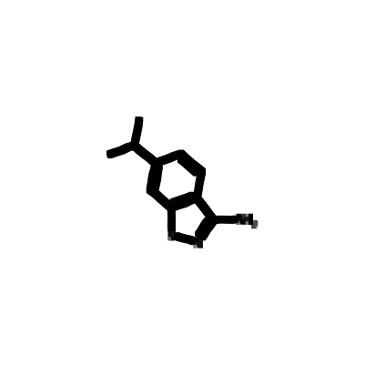 CC(C)c1ccc2c(N)nsc2c1